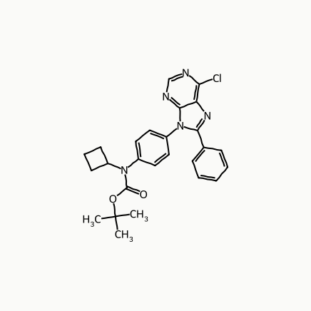 CC(C)(C)OC(=O)N(c1ccc(-n2c(-c3ccccc3)nc3c(Cl)ncnc32)cc1)C1CCC1